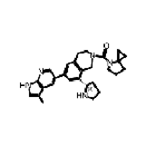 Cc1c[nH]c2ncc(-c3cc4c(c([C@@H]5CCCN5)c3)CN(C(=O)N3CCCC35CC5)CC4)cc12